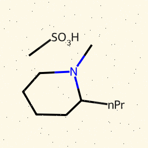 CCCC1CCCCN1C.CS(=O)(=O)O